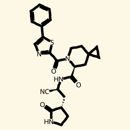 N#C[C@H](C[C@@H]1CCNC1=O)NC(=O)[C@@H]1CC2(CCN1C(=O)c1ncc(-c3ccccc3)s1)CC2